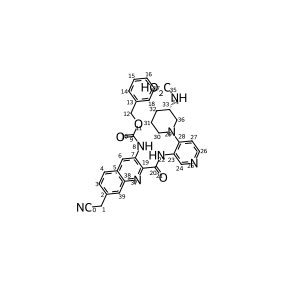 N#CCc1ccc2cc(NC(=O)OCc3ccccc3)c(C(=O)Nc3cnccc3N3CCC[C@H](NC(=O)O)C3)nc2c1